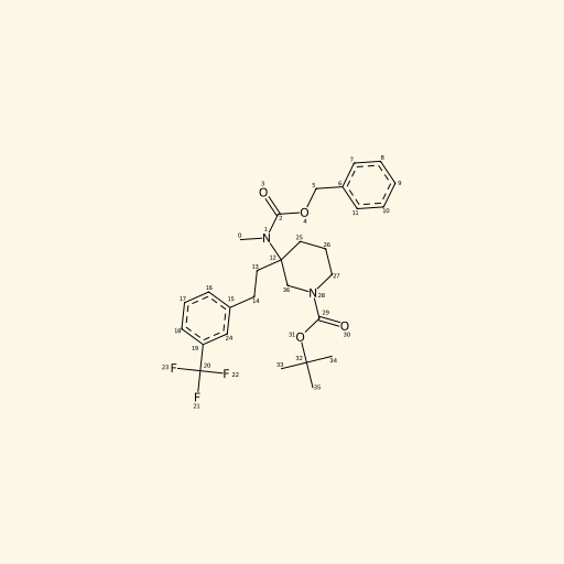 CN(C(=O)OCc1ccccc1)C1(CCc2cccc(C(F)(F)F)c2)CCCN(C(=O)OC(C)(C)C)C1